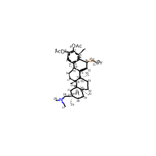 CC(=O)Oc1cc2c(c(C)c1OC(C)=O)C(SC(C)C)C=C1[C@@]2(C)CC[C@@]2(C)[C@@H]3C[C@](C)(CN(C)C)CC[C@]3(C)CC[C@]12C